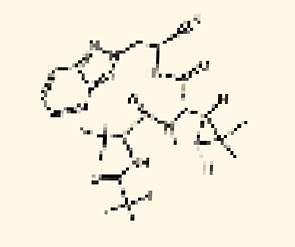 CC(C)(C)[C@H](NC(=O)C(F)(F)F)C(=O)N1C[C@H]2[C@H]([C@H]1C(=O)N[C@H](C#N)Cn1nc3ccccc3n1)C2(C)C